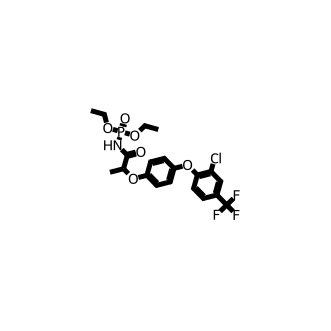 CCOP(=O)(NC(=O)C(C)Oc1ccc(Oc2ccc(C(F)(F)F)cc2Cl)cc1)OCC